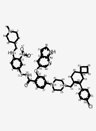 CN1CCC(CNc2ccc(SNC(=O)c3ccc(N4CCN(CC5=C(c6ccc(Cl)cc6)CC6(CCC6)CC5)CC4)cc3Oc3cnc4[nH]ccc4c3)cc2[N+](=O)[O-])CC1